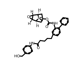 C[N+]1(C)[C@@H]2CC(OC(=O)Nc3cc(CCCCC(=O)Nc4ccc(CO)cc4)ccc3-c3ccccc3)C[C@H]1[C@@H]1O[C@@H]12